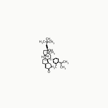 Cc1cc([C@H]2C[C@@]3(C)[C@@H](CC[C@@]3(O)C#CC(C)(C)C)[C@@H]3CCC4=CC(=O)CCC4=C32)ccc1N(C)C